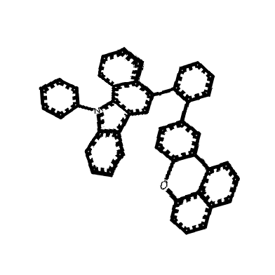 c1ccc(-n2c3ccccc3c3cc(-c4ccccc4-c4ccc5c(c4)-c4cccc6cccc(c46)O5)c4ccccc4c32)cc1